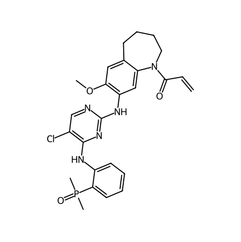 C=CC(=O)N1CCCCc2cc(OC)c(Nc3ncc(Cl)c(Nc4ccccc4P(C)(C)=O)n3)cc21